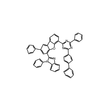 c1ccc(-c2ccc(-c3nc(-c4ccccc4)nc(-c4cccc5c4oc4c(-c6nc7ccccc7n6-c6ccccc6)cc(-c6ccccc6)cc45)n3)cc2)cc1